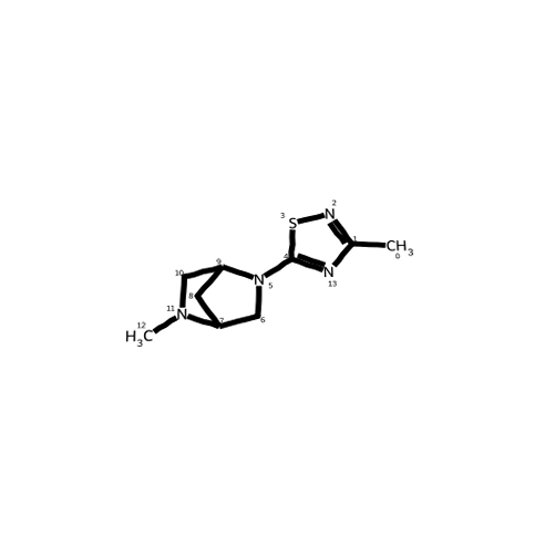 Cc1nsc(N2CC3CC2CN3C)n1